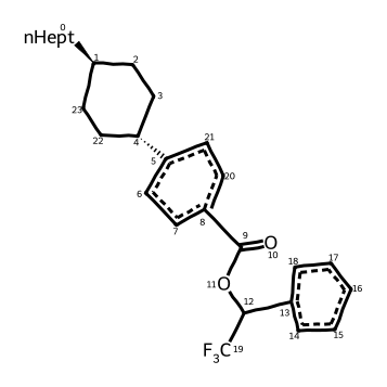 CCCCCCC[C@H]1CC[C@H](c2ccc(C(=O)OC(c3ccccc3)C(F)(F)F)cc2)CC1